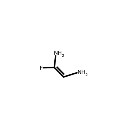 N/C=C(\N)F